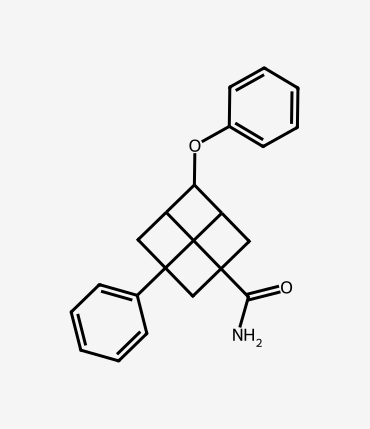 NC(=O)C12CC3C(Oc4ccccc4)C4CC(c5ccccc5)(C1)C342